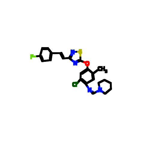 Cc1cc(/N=C\N2CCCCC2)c(Cl)cc1Oc1nc(/C=C/c2ccc(F)cc2)ns1